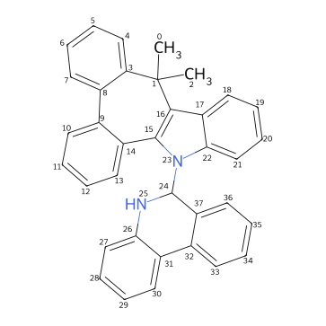 CC1(C)c2ccccc2-c2ccccc2-c2c1c1ccccc1n2C1Nc2ccccc2-c2ccccc21